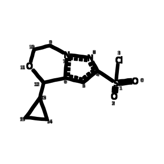 O=S(=O)(Cl)c1cc2n(n1)CCOC2C1CC1